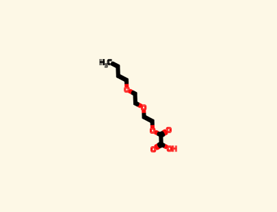 CCCCOCCOCCOC(=O)C(=O)O